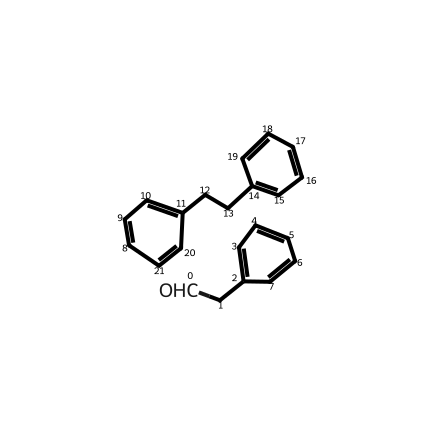 O=CCc1ccccc1.c1ccc(CCc2ccccc2)cc1